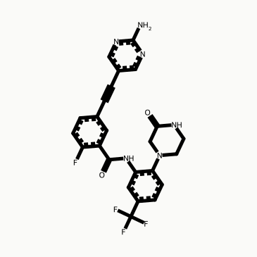 Nc1ncc(C#Cc2ccc(F)c(C(=O)Nc3cc(C(F)(F)F)ccc3N3CCNC(=O)C3)c2)cn1